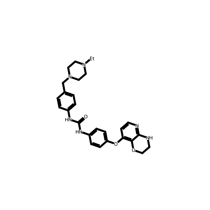 CCN1CCN(Cc2ccc(NC(=O)Nc3ccc(Oc4ccnc5c4OCCN5)cc3)cc2)CC1